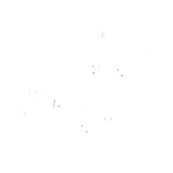 O=C(O)c1ccc2c(n1)[C@]1(CC[C@H](Oc3ncc(Cl)cc3F)CC1)C(=O)N2